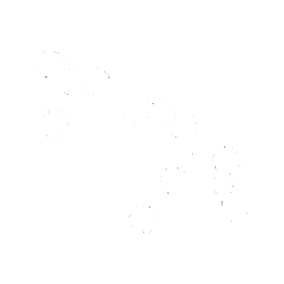 c1ccc(-c2ccc(N(c3ccc4oc5cc(-c6ccc7c8ccccc8n(-c8ccccc8)c7c6)ccc5c4c3)c3cccc4c3oc3ccccc34)cc2)cc1